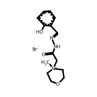 C[N+]1(CC(=O)NN=Cc2ccccc2O)CCOCC1.[Br-]